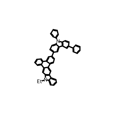 CCn1c2ccccc2c2cc3c4ccc(-c5ccc6c(c5)c5cc(-c7ccccc7)ccc5n6-c5ccccc5)cc4c4ccccc4c3cc21